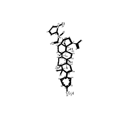 C=C(C)[C@@H]1CC[C@]2(C(=O)N(C)C3CCCN3CC)CC[C@]3(C)[C@H](CC[C@@H]4[C@@]5(C)CC=C(c6ccc(C(=O)O)cc6)C(C)(C)[C@@H]5CC[C@]43C)[C@@H]12